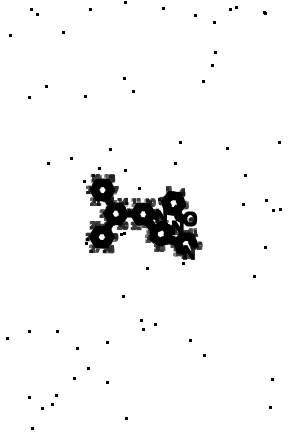 O=c1c2ccccc2n2c3ccc(-c4cc(-c5ccccc5)cc(-c5ccccc5)c4)cc3c3ccc4c5cnccc5n1c4c32